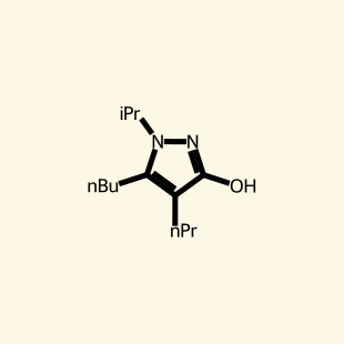 CCCCc1c(CCC)c(O)nn1C(C)C